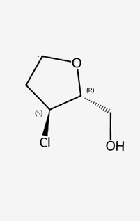 OC[C@H]1O[CH]C[C@@H]1Cl